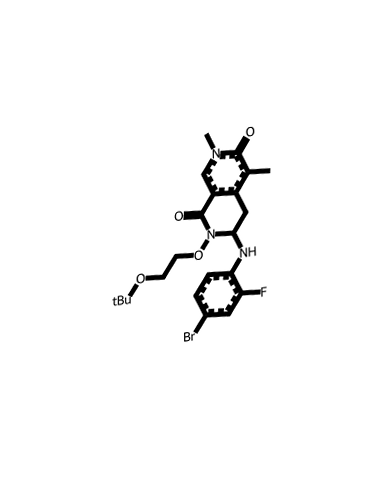 Cc1c2c(cn(C)c1=O)C(=O)N(OCCOC(C)(C)C)C(Nc1ccc(Br)cc1F)C2